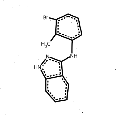 Cc1c(Br)cccc1Nc1n[nH]c2ccccc12